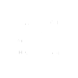 CC(C)C(=O)O.[Ru]